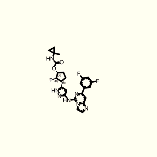 CC1(NC(=O)O[C@@H]2CC[C@H](c3cc(Nc4nc(-c5cc(F)cc(F)c5)cc5nccn45)n[nH]3)[C@H]2F)CC1